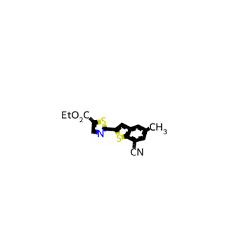 CCOC(=O)c1cnc(-c2cc3cc(C)cc(C#N)c3s2)s1